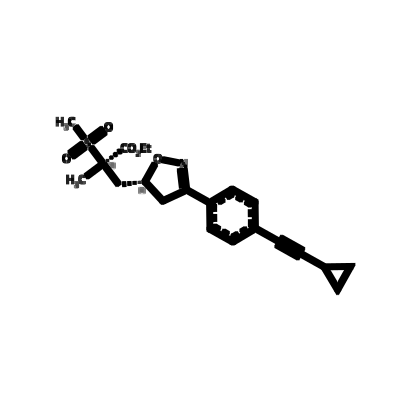 CCOC(=O)[C@@](C)(C[C@H]1CC(c2ccc(C#CC3CC3)cc2)=NO1)S(C)(=O)=O